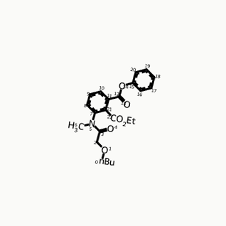 CCCCOCC(=O)N(C)c1cccc(C(=O)Oc2ccccc2)c1C(=O)OCC